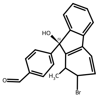 CC1C2=C(C=CC1Br)c1ccccc1[C@@]2(O)c1ccc(C=O)cc1